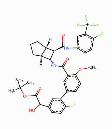 COc1ccc(-c2cc(C(O)C(=O)OC(C)(C)C)ccc2F)cc1C(=O)N[C@H]1[C@@H]2CCC[C@@H]2[C@H]1C(=O)Nc1ccc(F)c(C(F)(F)F)c1